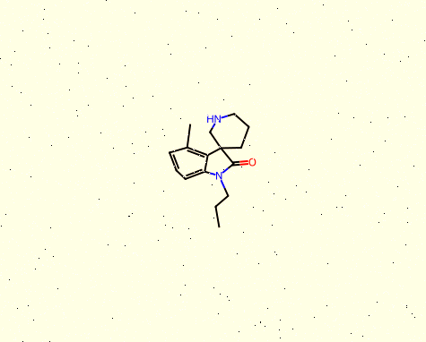 CCCN1C(=O)C2(CCCNC2)c2c(C)cccc21